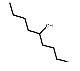 [CH2]CCCC(O)CCCC